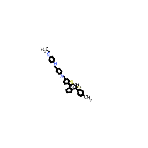 CC=Nc1ccc(N=Cc2ccc(/N=C/c3ccc4c(C5=C(c6c(C)sc7cc(C)ccc67)CCC5)c(C)sc4c3)cc2)cc1